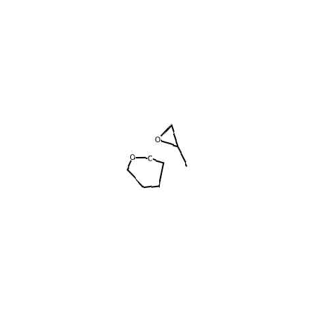 C1CCOCC1.CC1CO1